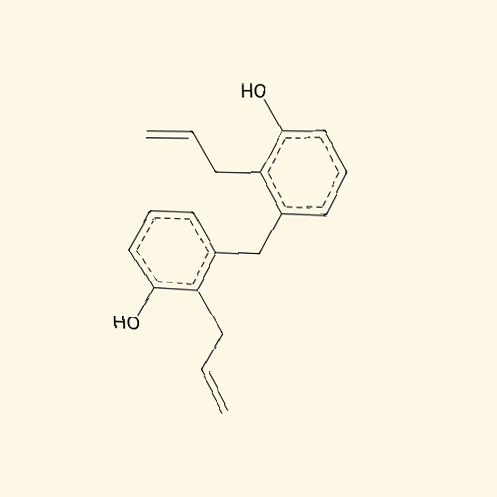 C=CCc1c(O)cccc1Cc1cccc(O)c1CC=C